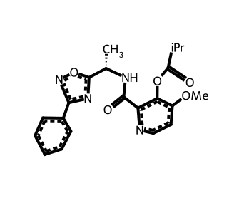 COc1ccnc(C(=O)N[C@@H](C)c2nc(-c3ccccc3)no2)c1OC(=O)C(C)C